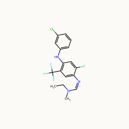 CCN(C)/C=N\c1cc(C(F)(F)F)c(Nc2cccc(Cl)c2)cc1F